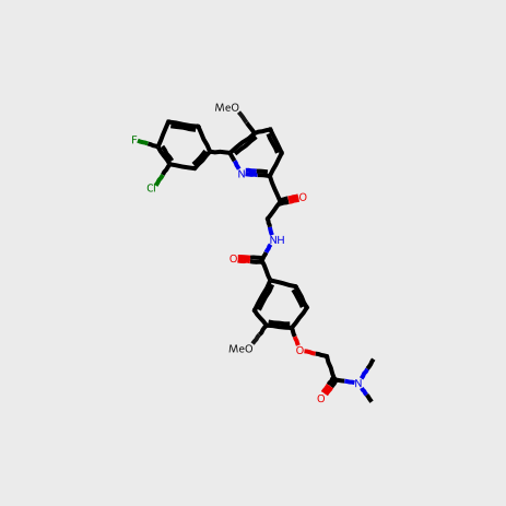 COc1cc(C(=O)NCC(=O)c2ccc(OC)c(-c3ccc(F)c(Cl)c3)n2)ccc1OCC(=O)N(C)C